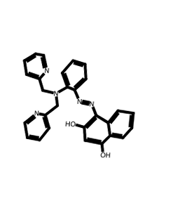 Oc1cc(O)c2ccccc2c1/N=N/c1ccccc1N(Cc1ccccn1)Cc1ccccn1